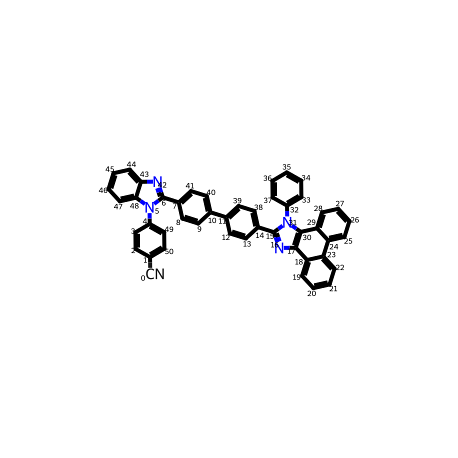 N#Cc1ccc(-n2c(-c3ccc(-c4ccc(-c5nc6c7ccccc7c7ccccc7c6n5-c5ccccc5)cc4)cc3)nc3ccccc32)cc1